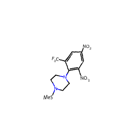 CSN1CCN(c2c([N+](=O)[O-])cc([N+](=O)[O-])cc2C(F)(F)F)CC1